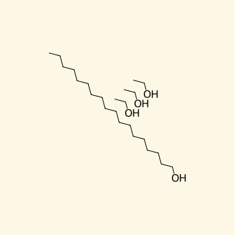 CCCCCCCCCCCCCCCCCCO.CCO.CCO.CCO